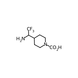 NC(C1CCN(C(=O)O)CC1)C(F)(F)F